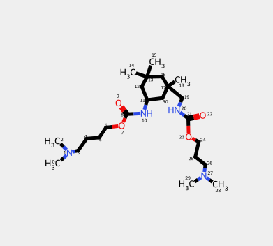 CN(C)CCCCOC(=O)NC1CC(C)(C)CC(C)(CNC(=O)OCCCN(C)C)C1